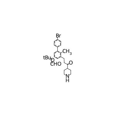 CC(C)(C)OC=O.Cc1c(CCC(=O)C2CCNCC2)cccc1-c1ccc(Br)cc1